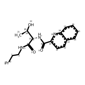 CC(C)CCNC(=O)[C@@H](NC(=O)c1ccc2ccccc2n1)[C@@H](C)O